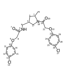 CC1CC(CNC(=O)COc2ccc(Cl)cc2)CN1C(=O)COc1ccc(Cl)cc1